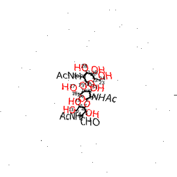 CC(=O)N[C@H]1[C@H](O[C@@H]([C@H](O)[C@H](C=O)NC(C)=O)[C@H](O)CO)O[C@H](CO)[C@@H](O[C@@H]2O[C@H](CO)[C@@H](O)[C@H](O)[C@H]2NC(C)=O)[C@@H]1O